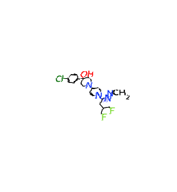 C=N/N=C(/CC(CF)CF)N1C=CC(N2CCC(O)(c3ccc(Cl)cc3)CC2)=CC1